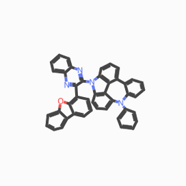 c1ccc(-n2c3ccccc3c3cccc4c3c3c2cccc3n4-c2nc3ccccc3nc2-c2cccc3c2oc2ccccc23)cc1